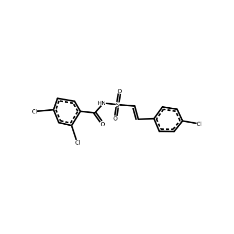 O=C(NS(=O)(=O)C=Cc1ccc(Cl)cc1)c1ccc(Cl)cc1Cl